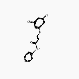 O=C(C=CSc1cc(Cl)cc(Cl)c1)Nc1ccccc1